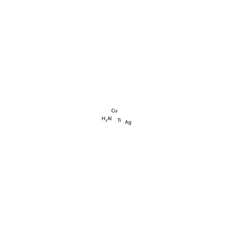 [Ag].[AlH3].[Cu].[Ti]